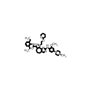 CCc1cccc(CC)c1NC(=O)c1nn(CCOC2CCCCO2)c2c1CCCc1cnc(Nc3ccc(N4CCN(C)CC4)cc3OC)nc1-2